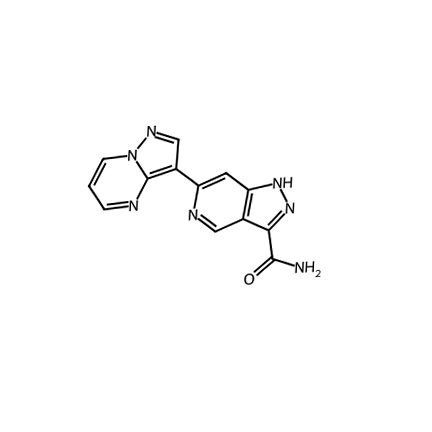 NC(=O)c1n[nH]c2cc(-c3cnn4cccnc34)ncc12